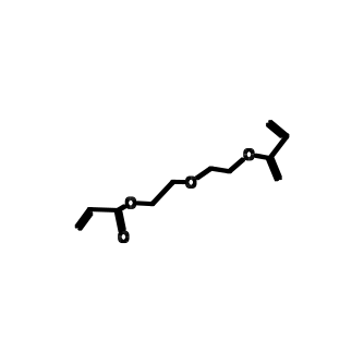 C=CC(=C)OCCOCCOC(=O)C=C